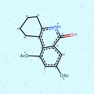 CC(=O)Oc1cc(OC(C)=O)c2c3c([nH]c(=O)c2c1)CCCC3